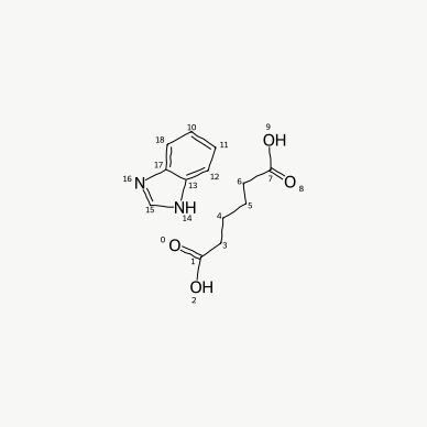 O=C(O)CCCCC(=O)O.c1ccc2[nH]cnc2c1